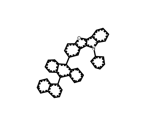 c1ccc(-n2c3ccccc3c3oc4ccc(-c5c6ccccc6c(-c6cccc7ccccc67)c6ccccc56)cc4c32)cc1